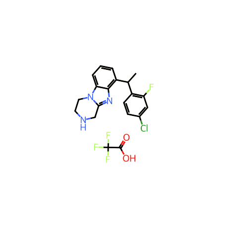 CC(c1ccc(Cl)cc1F)c1cccc2c1nc1n2CCNC1.O=C(O)C(F)(F)F